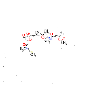 CSCCN(C)C(=O)C[C@@H]1C[C@@]2(CO2)[C@H](O)[C@@H](/C=C/C(C)=C/C[C@@H]2O[C@H](C)[C@H](NC(=O)C=CC(C)OC(C)=O)C[C@@H]2C)O1